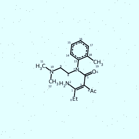 CCC(N)=C(C(C)=O)C(=O)N(CCN(C)C)c1ccccc1C